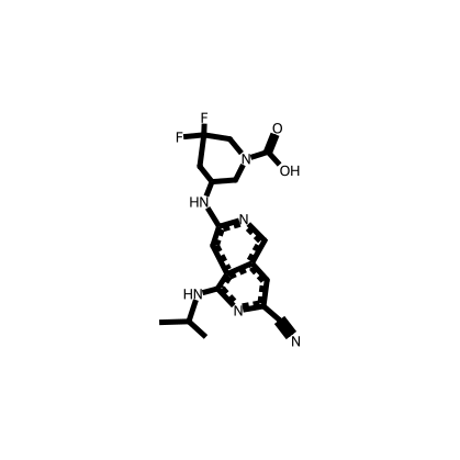 CC(C)Nc1nc(C#N)cc2cnc(NC3CN(C(=O)O)CC(F)(F)C3)cc12